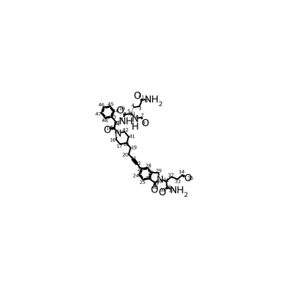 NC(=O)CC[C@H](NC=O)C(=O)N[C@H](C(=O)N1CCC(CCC#Cc2ccc3c(c2)CN(C(CCC=O)C(N)=O)C3=O)CC1)c1ccccc1